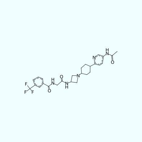 CC(=O)Nc1ccc(C2CCC(N3CC(NC(=O)CNC(=O)c4cccc(C(F)(F)F)c4)C3)CC2)nc1